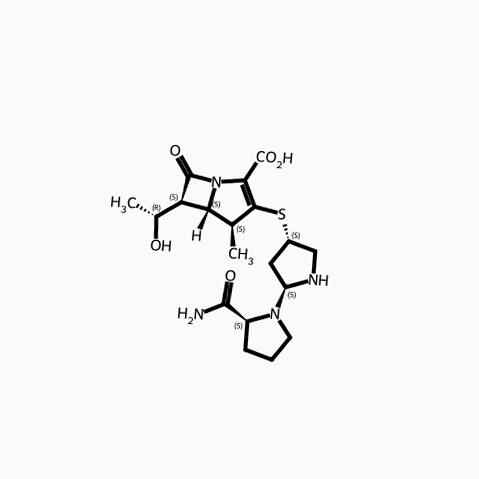 C[C@@H]1C(S[C@@H]2CN[C@@H](N3CCC[C@H]3C(N)=O)C2)=C(C(=O)O)N2C(=O)[C@H]([C@@H](C)O)[C@@H]12